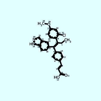 CCC(=C(c1ccc(C=CC(=O)O)cc1)c1ccc2[nH]ncc2c1)c1ccc(OC)cc1Cl